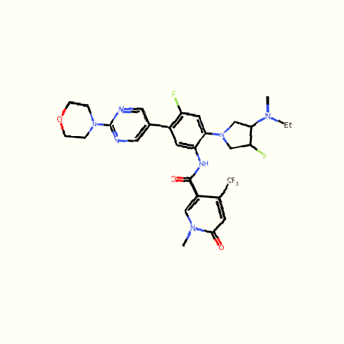 CCN(C)C1CN(c2cc(F)c(-c3cnc(N4CCOCC4)nc3)cc2NC(=O)c2cn(C)c(=O)cc2C(F)(F)F)CC1F